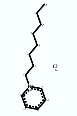 CCCCCCCC[n+]1ccccc1.[Cl-]